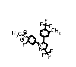 Cc1cc(-c2cc(C(F)(F)F)nn2-c2ccc(S(C)(=O)=O)c(F)c2)ccc1C(F)(F)F